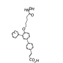 O=C(O)/C=C/c1ccc(-c2ccc(OCCCCC(=O)NO)c(-c3ccccc3)c2)cc1